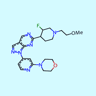 COCCN1CCC(c2ncc3cnn(-c4ccnc(N5CCOCC5)c4)c3n2)C(F)C1